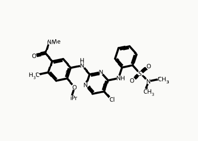 CNC(=O)c1cc(Nc2ncc(Cl)c(Nc3ccccc3S(=O)(=O)N(C)C)n2)c(OC(C)C)cc1C